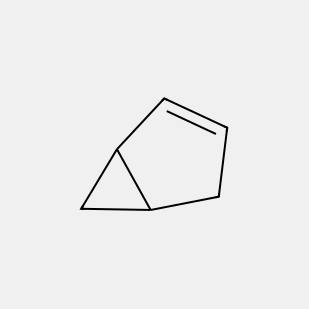 C1=CC2CC2C1